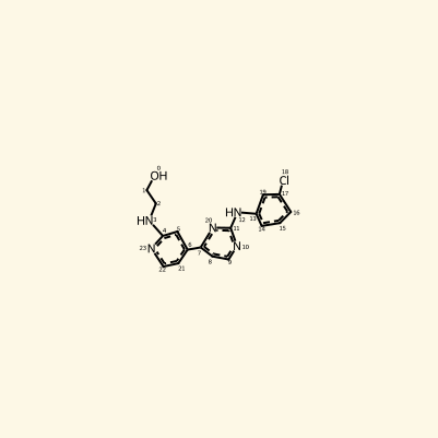 OCCNc1cc(-c2ccnc(Nc3cccc(Cl)c3)n2)ccn1